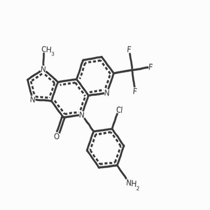 Cn1cnc2c(=O)n(-c3ccc(N)cc3Cl)c3nc(C(F)(F)F)ccc3c21